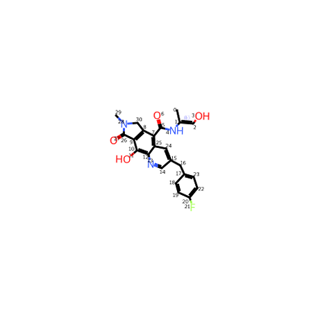 C/C(=C\O)NC(=O)c1c2c(c(O)c3ncc(Cc4ccc(F)cc4)cc13)C(=O)N(C)C2